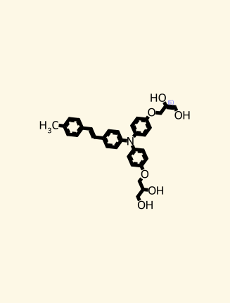 Cc1ccc(C=Cc2ccc(N(c3ccc(OC/C(O)=C\O)cc3)c3ccc(OCC(O)CO)cc3)cc2)cc1